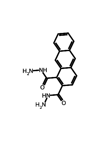 NNC(=O)c1ccc2cc3ccccc3cc2c1C(=O)NN